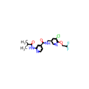 CC(C)C(=O)Nc1cc(C(=O)NCc2cnc(OCC(F)F)c(Cl)c2)ccn1